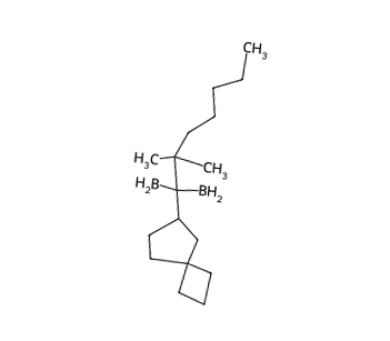 BC(B)(C1CCC2(CCC2)C1)C(C)(C)CCCCC